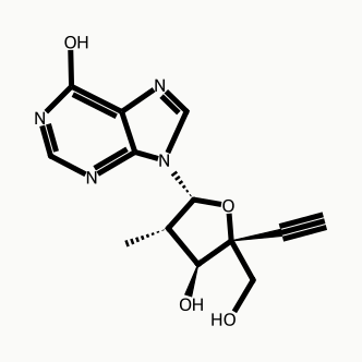 C#C[C@]1(CO)O[C@@H](n2cnc3c(O)ncnc32)[C@@H](C)[C@@H]1O